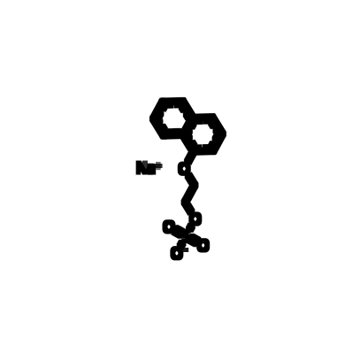 O=S(=O)([O-])OCCOc1cccc2ccccc12.[Na+]